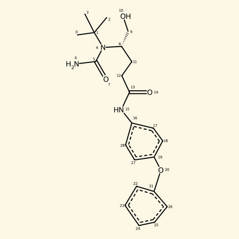 CC(C)(C)N(C(N)=O)[C@H](CO)CCC(=O)Nc1ccc(Oc2ccccc2)cc1